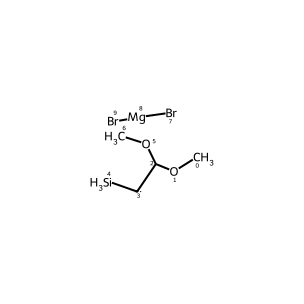 COC([CH][SiH3])OC.[Br][Mg][Br]